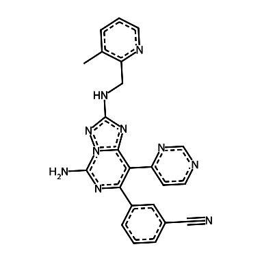 Cc1cccnc1CNc1nc2c(-c3ccncn3)c(-c3cccc(C#N)c3)nc(N)n2n1